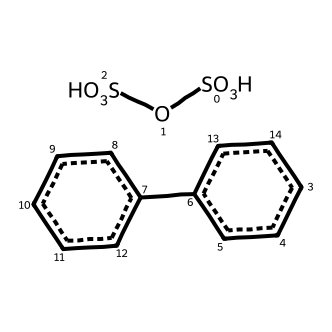 O=S(=O)(O)OS(=O)(=O)O.c1ccc(-c2ccccc2)cc1